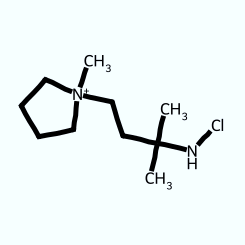 CC(C)(CC[N+]1(C)CCCC1)NCl